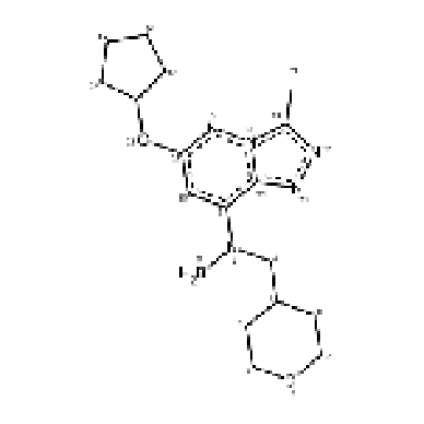 BN(CC1CCOCC1)c1cc(OC2CCCC2)nn2c(I)nnc12